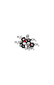 CC1=[C]([Hf+2]([C]2=C(C)C=C3SC(C)C(c4cc(C)cc(C)c4)=C32)=[Si](C)C)C2=C(c3cc(C)cc(C)c3)C(C)SC2=C1.[Cl-].[Cl-]